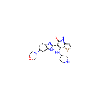 O=c1[nH]c2ccsc2c(NC2CCNCC2)c1-c1nc2ccc(N3CCOCC3)cc2[nH]1